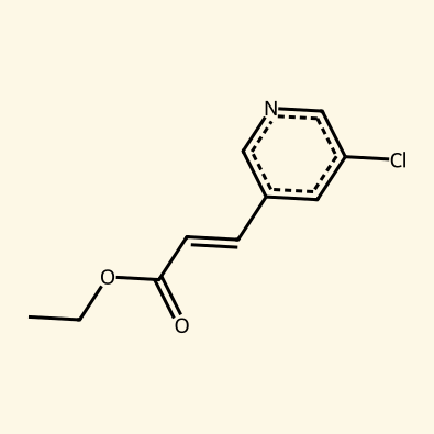 CCOC(=O)C=Cc1cncc(Cl)c1